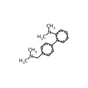 CN(C)Cc1ccc(-c2cc[c]cc2N(C)C)cc1